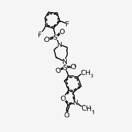 Cc1cc2c(cc1S(=O)(=O)N1CCN(S(=O)(=O)c3c(F)cccc3F)CC1)oc(=O)n2C